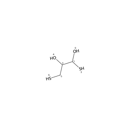 OC(S)C(O)CS